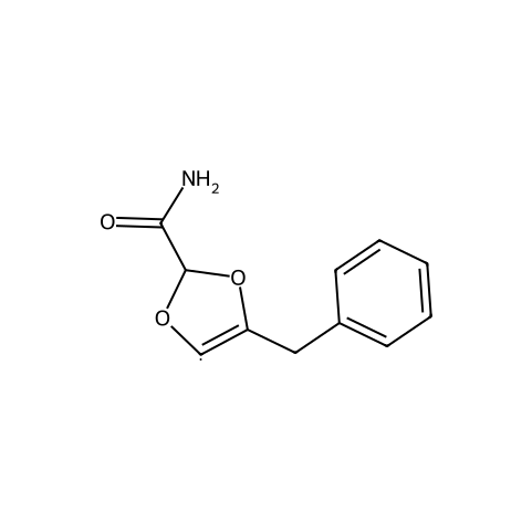 NC(=O)C1O[C]=C(Cc2ccccc2)O1